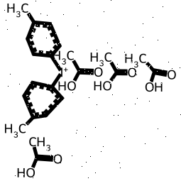 CC(=O)O.CC(=O)O.CC(=O)O.CC(=O)O.Cc1ccc([I+]c2ccc(C)cc2)cc1